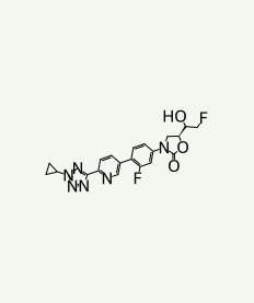 O=C1O[C@H](C(O)CF)CN1c1ccc(-c2ccc(-c3nnn(C4CC4)n3)nc2)c(F)c1